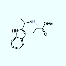 COC(=O)CCc1c(C(C)N)[nH]c2ccccc12